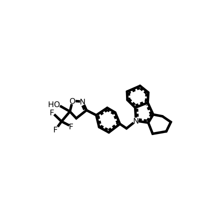 OC1(C(F)(F)F)CC(c2ccc(Cn3c4c(c5ccccc53)CCCC4)cc2)=NO1